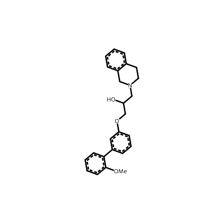 COc1ccccc1-c1cccc(OCC(O)CN2CCc3ccccc3C2)c1